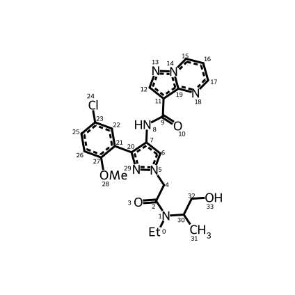 CCN(C(=O)Cn1cc(NC(=O)c2cnn3cccnc23)c(-c2cc(Cl)ccc2OC)n1)C(C)CO